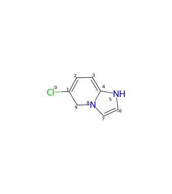 ClC1=CC=C2N[C]=CN2C1